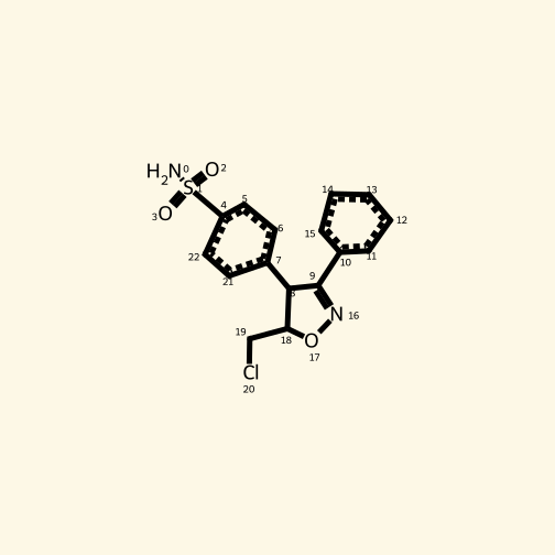 NS(=O)(=O)c1ccc(C2C(c3ccccc3)=NOC2CCl)cc1